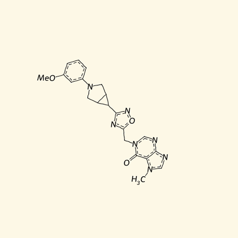 COc1cccc(N2CC3C(C2)C3c2noc(Cn3cnc4ncn(C)c4c3=O)n2)c1